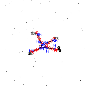 CC(C)(C)OC(=O)NCCOCCOCCNC(=O)CN1CCN(CC(=O)NCCOCCOCCNC(=O)OCC2c3ccccc3-c3ccccc32)CCN(CC(=O)NCCOCCOCCNC(=O)OC(C)(C)C)CCN(CC(=O)NCCOCCOCCNC(=O)OC(C)(C)C)CC1